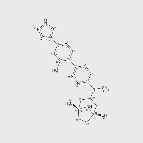 CN(c1ccc(-c2ccc(-c3cn[nH]c3)cc2O)nn1)C1C[C@]2(C)CC[C@](C)(C1)N2